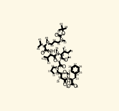 CC[C@H](C)[C@@H]([C@@H](CC(=O)N1CCC[C@H]1[C@H](OC)[C@@H](C)C(=O)N[C@@H](Cc1ccccc1)C(=O)O)OC)N(C)C(=O)[C@@H](NC(=O)[C@H](C(C)C)N(C)CCCN(C)C(=O)OC(C)(C)C)C(C)C